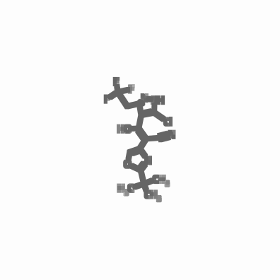 CC(C)(C)c1nc(C(C#N)=C(O)c2c(CC(F)(F)F)n[nH]c2Cl)co1